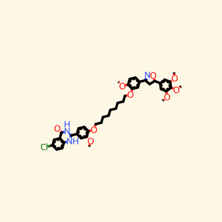 COc1cc(C2NC(=O)c3cc(Cl)ccc3N2)ccc1OCCCCCCCCCOc1cc(C2=NOC(c3cc(OC)c(OC)c(OC)c3)C2)ccc1OC